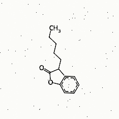 CCCCCC1C(=O)Oc2ccccc21